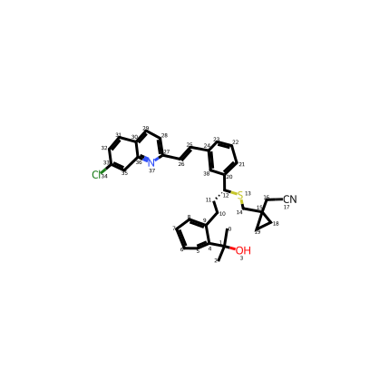 CC(C)(O)c1ccccc1CC[C@@H](SCC1(CC#N)CC1)c1cccc(/C=C/c2ccc3ccc(Cl)cc3n2)c1